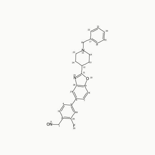 O=NCc1ccc(-c2ccc3oc(C4CCN(Cc5ccccc5)CC4)nc3c2)cc1F